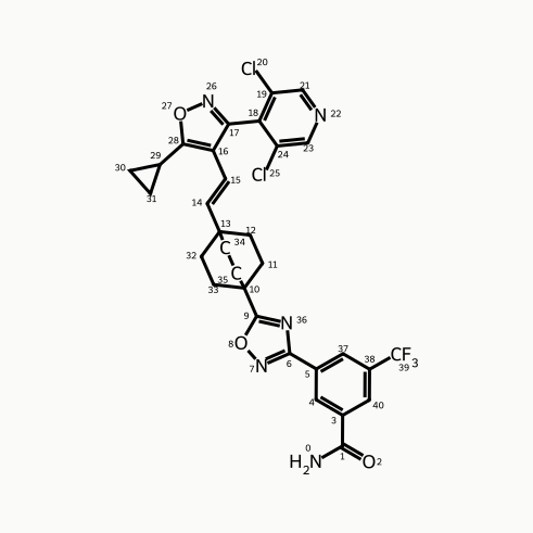 NC(=O)c1cc(-c2noc(C34CCC(C=Cc5c(-c6c(Cl)cncc6Cl)noc5C5CC5)(CC3)CC4)n2)cc(C(F)(F)F)c1